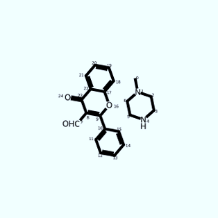 CN1CCNCC1.O=Cc1c(-c2ccccc2)oc2ccccc2c1=O